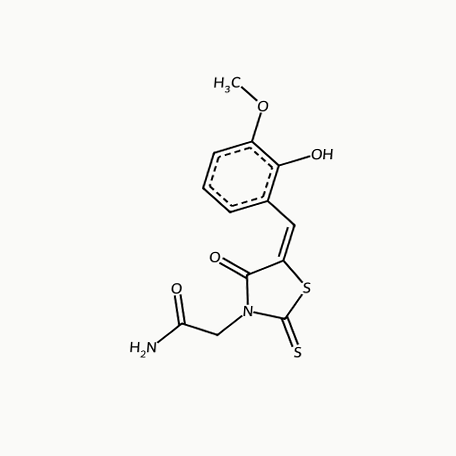 COc1cccc(C=C2SC(=S)N(CC(N)=O)C2=O)c1O